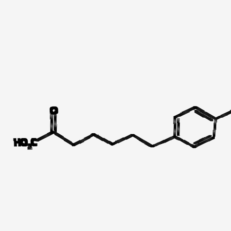 Cc1ccc(CCCCCC(=O)C(=O)O)cc1